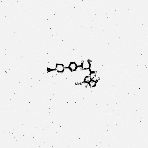 CN[C@H]1CN(C(=O)C(CC(C)(C)C)NC(=O)c2ccc(N3CCN(C4CC4)CC3)cc2)[C@@H]2C(=O)CO[C@H]12